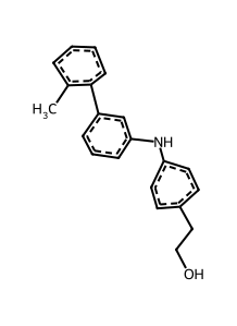 Cc1ccccc1-c1cccc(Nc2ccc(CCO)cc2)c1